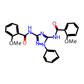 COc1ccccc1C(=O)Nc1nc(NC(=O)c2ccccc2OC)n(-c2ccccc2)n1